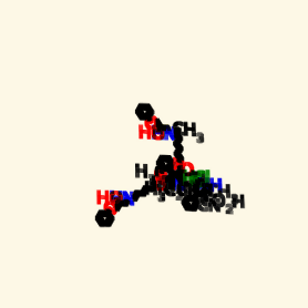 CC1=C(C(=O)O)C(c2ccccc2C#N)C(C(=O)O)=C(C)N1.CC1=C(C(=O)OCCCCCCNCC(O)COc2ccccc2)C(c2ccccc2C)C(C(=O)OCCCCCC(C)NCC(O)COc2ccccc2)=C(C)N1C.Cl.Cl